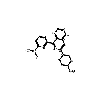 C[S+]([O-])c1cccc(-c2nc(C3CCC(C(=O)O)CC3)cc3cccnc23)c1